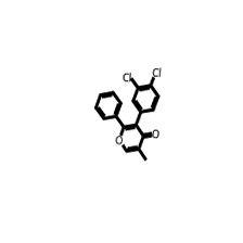 Cc1coc(-c2ccccc2)c(-c2ccc(Cl)c(Cl)c2)c1=O